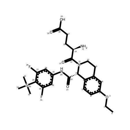 CCOc1ccc2c(c1)CCN(C(=O)[C@H](N)CCC(=O)O)[C@H]2C(=O)Nc1cc(F)c([Si](C)(C)C)c(F)c1